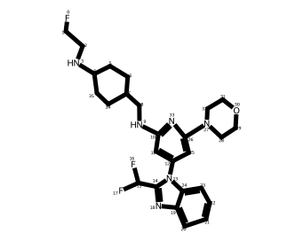 FCCNC1CCC(CNc2cc(-n3c(C(F)F)nc4ccccc43)cc(N3CCOCC3)n2)CC1